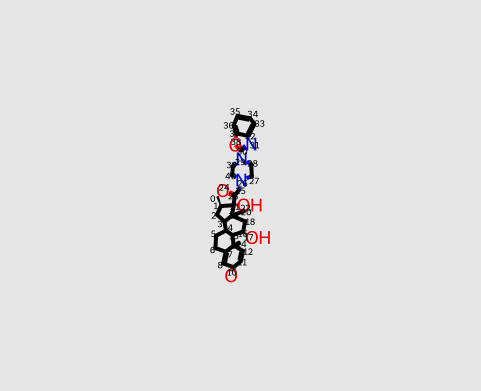 C[C@@H]1CC2C3CCC4=CC(=O)C=CC4(C)C3[C@@H](O)CC2(C)[C@@]1(O)C(=O)CN1CCN(c2nc3ccccc3o2)CC1